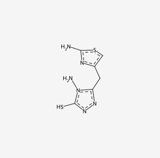 Nc1nc(Cc2nnc(S)n2N)cs1